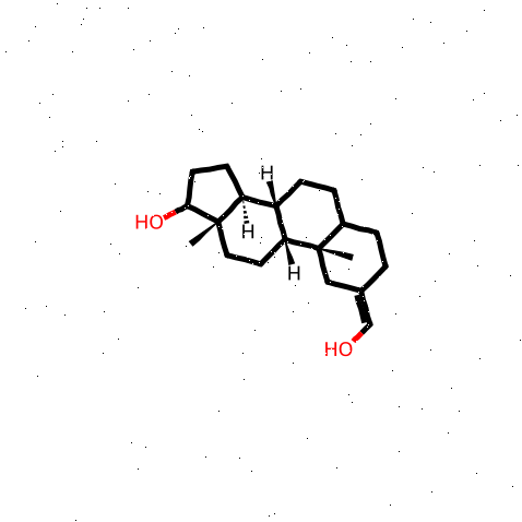 C[C@]12CC(=CO)CCC1CC[C@@H]1[C@H]2CC[C@]2(C)C(O)CC[C@@H]12